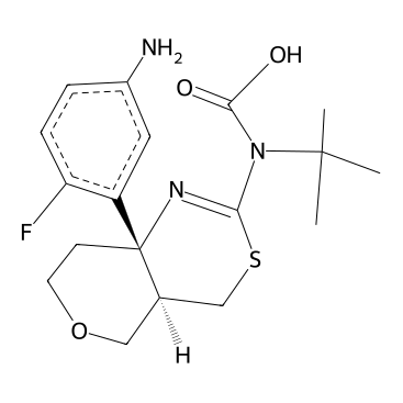 CC(C)(C)N(C(=O)O)C1=N[C@@]2(c3cc(N)ccc3F)CCOC[C@@H]2CS1